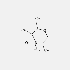 CCCC1OCC(CCC)[N+](C)([O-])C1CCC